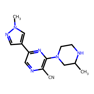 CC1CN(c2nc(-c3cnn(C)c3)cnc2C#N)CCN1